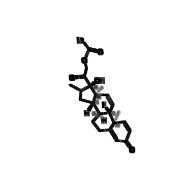 CCC(=O)OCC(=O)[C@@]1(O)C(C)C[C@H]2[C@@H]3CCC4=CC(=O)C=C[C@]4(C)[C@@]3(F)C=C[C@@]21C